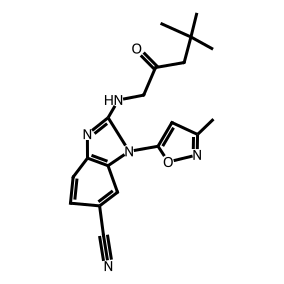 Cc1cc(-n2c(NCC(=O)CC(C)(C)C)nc3ccc(C#N)cc32)on1